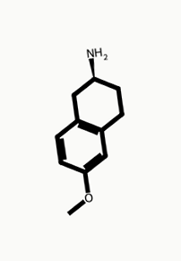 COc1ccc2c(c1)CC[C@H](N)C2